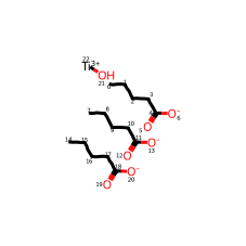 CCCCC(=O)[O-].CCCCC(=O)[O-].CCCCC(=O)[O-].[OH][Ti+3]